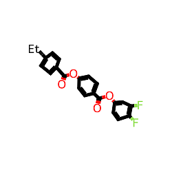 CCc1ccc(C(=O)Oc2ccc(C(=O)Oc3ccc(F)c(F)c3)cc2)cc1